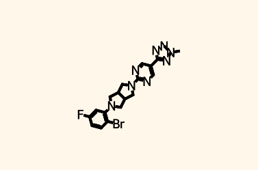 Cn1nnc(-c2cnc(N3CC4CN(c5cc(F)ccc5Br)CC4C3)nc2)n1